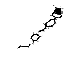 C=CCCC[C@H]1CC[C@H](CCC2CCC(c3ccc(Cl)c(F)c3)CC2)CC1